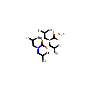 CCCCC(CC)CN(CC(CC)CCCC)C(=S)[S-].CCCCC(CC)CN(CC(CC)CCCC)C(=S)[S-].[Mo+2]